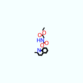 CCOC(=O)CNC(=O)Oc1cccc2ccc(C)nc12